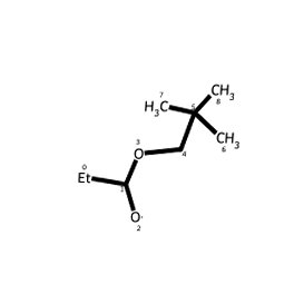 CCC([O])OCC(C)(C)C